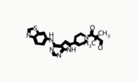 CC(C)(C=O)C(=O)N1CC=C(c2cc3c(Nc4ccc5ncsc5c4)ncnc3[nH]2)CC1